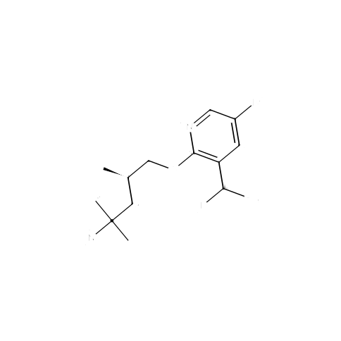 C[C@@H](COc1ncc(Br)cc1C(F)F)CC(C)(C)N